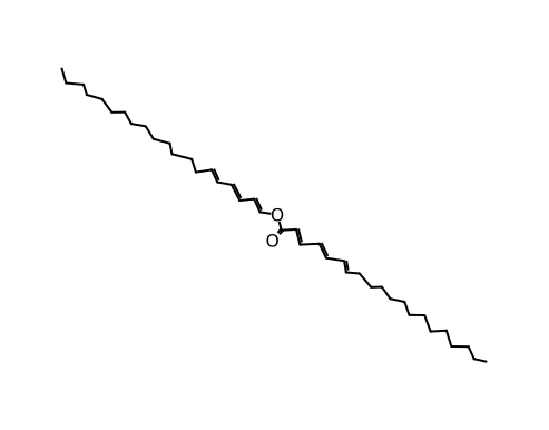 CCCCCCCCCCCCCC=CC=CC=CC(=O)OC=CC=CC=CCCCCCCCCCCCCCC